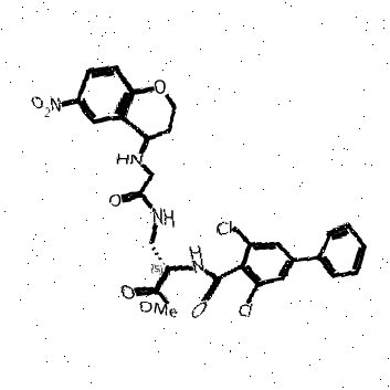 COC(=O)[C@H](CNC(=O)CNC1CCOc2ccc([N+](=O)[O-])cc21)NC(=O)c1c(Cl)cc(-c2ccccc2)cc1Cl